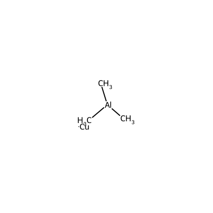 [CH3][Al]([CH3])[CH3].[Cu]